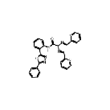 O=C(Nc1ccccc1-c1nnc(-c2ccccc2)o1)C(N=Cc1ccccn1)N=Cc1ccccn1